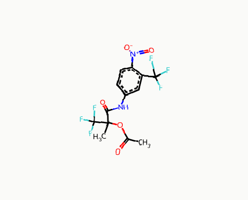 CC(=O)OC(C)(C(=O)Nc1ccc([N+](=O)[O-])c(C(F)(F)F)c1)C(F)(F)F